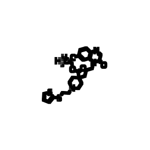 CCOC(=O)C1(CCCn2c(=O)cnc3ccc(C)cc32)CCN(CCSc2cccs2)CC1